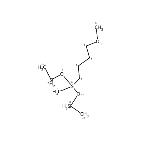 COCCCC[Si](C)(O[SiH2]C)O[SiH2]C